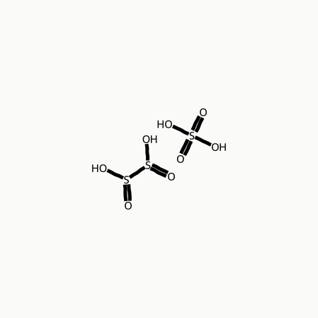 O=S(=O)(O)O.O=S(O)S(=O)O